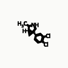 CC1NC[C@]2(c3ccc(Cl)c(Cl)c3)C[C@@H]12